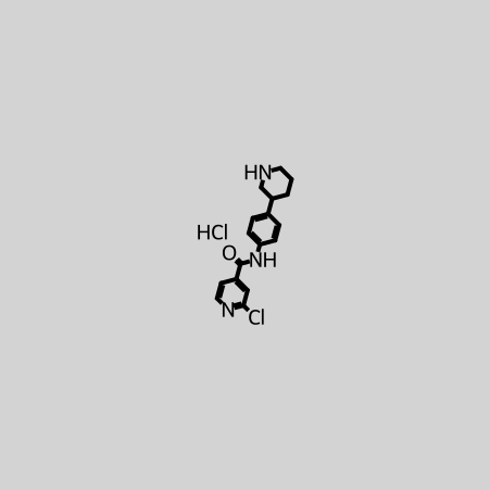 Cl.O=C(Nc1ccc(C2CCCNC2)cc1)c1ccnc(Cl)c1